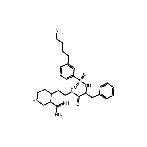 N=C(N)C1CNCCC1CCNC(=O)[C@H](Cc1ccccc1)NS(=O)(=O)c1cccc(CCCCN)c1